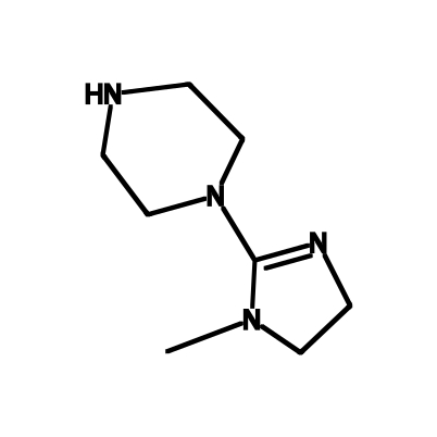 CN1CCN=C1N1CCNCC1